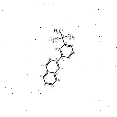 CC(C)(C)c1cccc(-c2ccc3ccccc3c2)n1